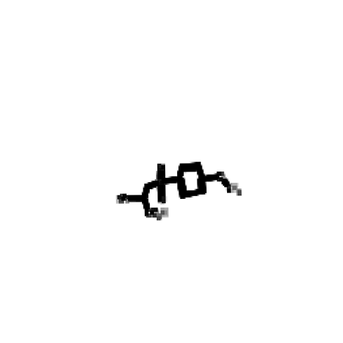 CCCC(CS(=O)(=O)c1ccc(OC(F)(F)F)cc1)C(=O)O